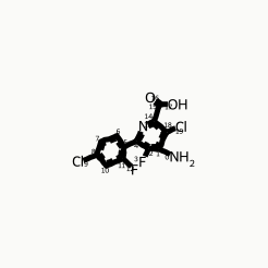 Nc1c(F)c(-c2ccc(Cl)cc2F)nc(C(=O)O)c1Cl